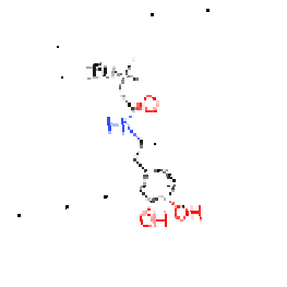 CC(C)(C)C(C)(C)CC(=O)NCCc1ccc(O)c(O)c1